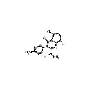 CC(N)c1nc2c(F)ccc(Cl)c2c(=O)n1-c1cnc(N)cn1